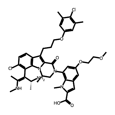 CN/C(C)=C(/c1c(Cl)ccc2c(CCCOc3cc(C)c(Cl)c(C)c3)c3n(c12)[C@H](C)CN(c1cc(OCCOC)cc2cc(C(=O)O)n(C)c12)C3=O)[C@@H](C)N